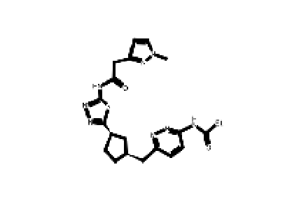 CCC(=O)Nc1ccc(C[C@H]2CC[C@@H](c3nnc(NC(=O)Cc4ccn(C)n4)s3)C2)nn1